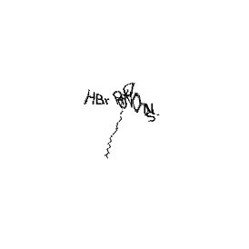 Br.CCCCCCCCCCCCCCOc1ccccc1C(=O)Nc1ccc(CN2C=C(C)SC2)cc1